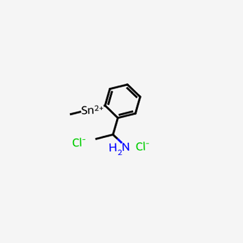 [CH3][Sn+2][c]1ccccc1C(C)N.[Cl-].[Cl-]